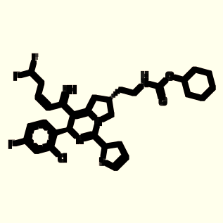 N=C(/C=C\CC(F)F)C1=C2C[C@H](CCNC(=O)OC3CCCCC3)CN2C(C2CC=CS2)=N[C@H]1c1ccc(F)cc1Cl